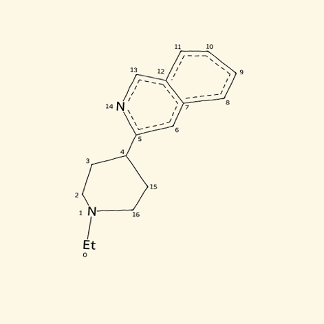 CCN1CCC(c2cc3ccccc3cn2)CC1